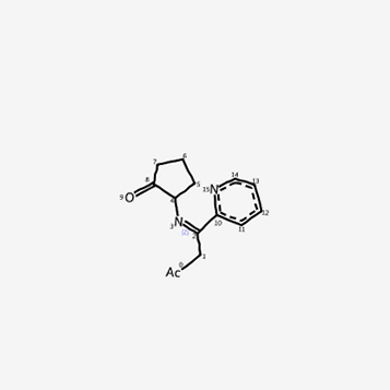 CC(=O)C/C(=N/C1CCCC1=O)c1ccccn1